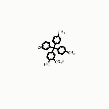 Cc1ccc(C(c2ccccc2)(c2ccc(C)cc2)c2ccc(O)c(C(=O)O)c2)cc1.[Zn]